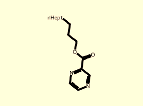 CCCCCCCCCCOC(=O)c1cnccn1